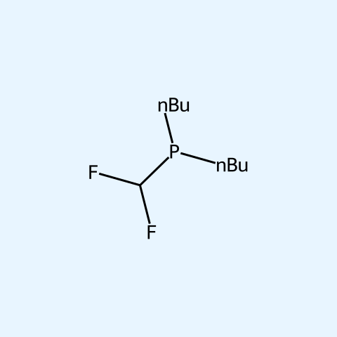 CCCCP(CCCC)C(F)F